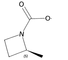 C[C@H]1CCN1C([O])=O